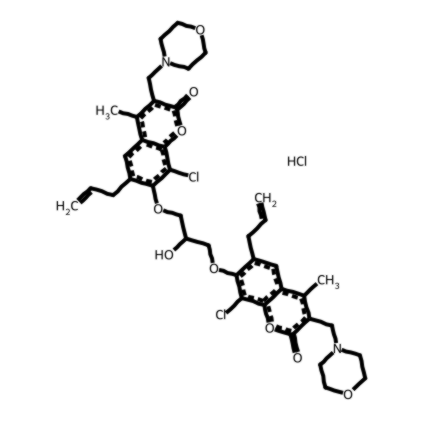 C=CCc1cc2c(C)c(CN3CCOCC3)c(=O)oc2c(Cl)c1OCC(O)COc1c(CC=C)cc2c(C)c(CN3CCOCC3)c(=O)oc2c1Cl.Cl